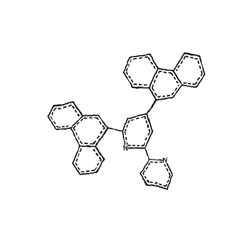 c1ccc(-c2cc(-c3cc4ccccc4c4ccccc34)cc(-c3cc4ccccc4c4ccccc34)n2)nc1